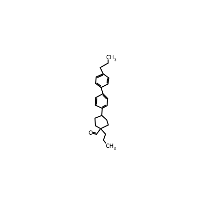 CCCc1ccc(-c2ccc(C3CCC(C=O)(CCC)CC3)cc2)cc1